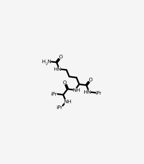 CC(C)NC(=O)C(CCCNC(N)=O)NC(=O)C(NC(C)C)C(C)C